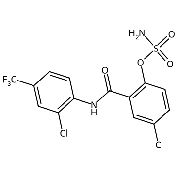 NS(=O)(=O)Oc1ccc(Cl)cc1C(=O)Nc1ccc(C(F)(F)F)cc1Cl